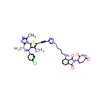 Cc1c(C#Cc2cnn(CCCCNc3cccc4c3C(=O)N(C3CCC(=O)NC3=O)C4=O)c2)sc2c1C(c1ccc(Cl)cc1)=N[C@@H](C)c1nnc(C)n1-2